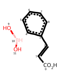 O=C(O)C=Cc1ccccc1.OBO